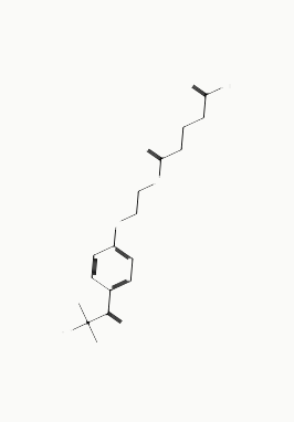 CC(C)(O)C(=O)c1ccc(OCCOC(=O)CCCC(=O)O)cc1